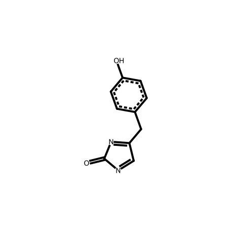 O=C1N=CC(Cc2ccc(O)cc2)=N1